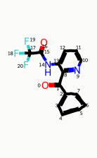 O=C(c1ccccc1)c1ncccc1NC(=O)C(F)(F)F